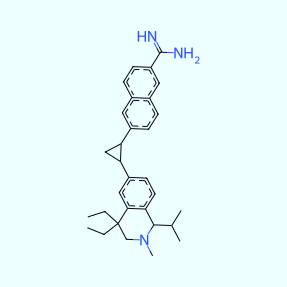 CCC1(CC)CN(C)C(C(C)C)c2ccc(C3CC3c3ccc4cc(C(=N)N)ccc4c3)cc21